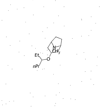 CCCC(CC)OC1CC2CCC(C1)N2C